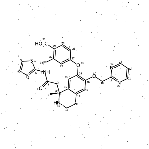 C[C@]1(CC(=O)Nc2nccs2)NCCc2cc(OCc3ncccn3)c(Oc3ccc(C(=O)O)c(F)c3)cc21